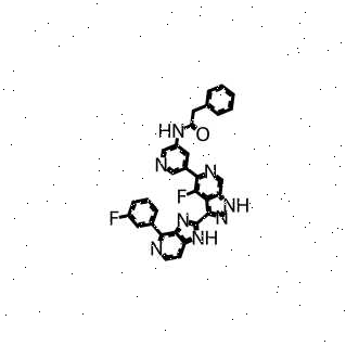 O=C(Cc1ccccc1)Nc1cncc(-c2ncc3[nH]nc(-c4nc5c(-c6cccc(F)c6)nccc5[nH]4)c3c2F)c1